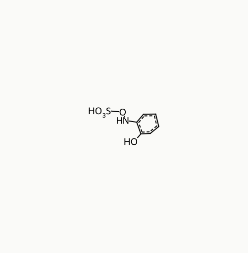 O=S(=O)(O)ONc1ccccc1O